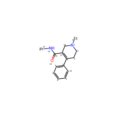 CCN1CCC(c2ccccc2)=C(C(=O)NC(C)C)C1